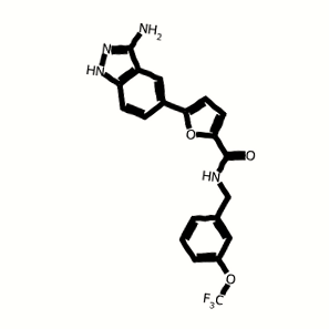 Nc1n[nH]c2ccc(-c3ccc(C(=O)NCc4cccc(OC(F)(F)F)c4)o3)cc12